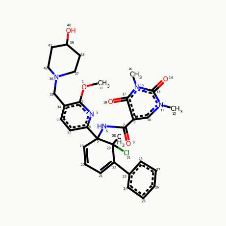 COc1nc(C2(NC(=O)c3cn(C)c(=O)n(C)c3=O)C=CC=C(c3ccccc3)C2(C)Cl)ccc1CN1CCC(O)CC1